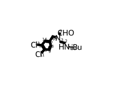 CC[C@H](C)NCCN(C=O)Cc1ccc(Cl)c(Cl)c1